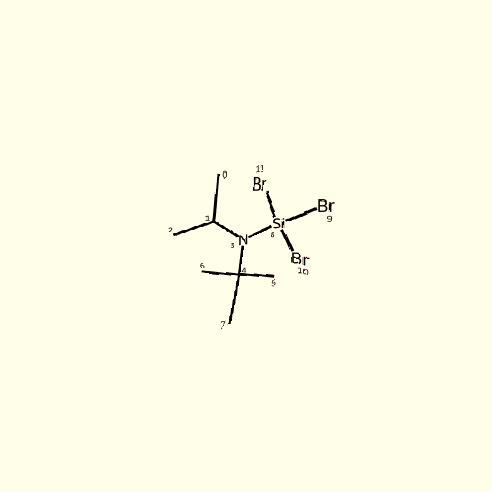 CC(C)N(C(C)(C)C)[Si](Br)(Br)Br